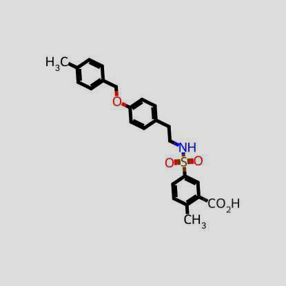 Cc1ccc(COc2ccc(CCNS(=O)(=O)c3ccc(C)c(C(=O)O)c3)cc2)cc1